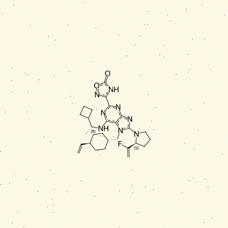 C=C[C@H]1CC[C@H](Cn2c(N3CCC[C@H]3C(=C)F)nc3nc(-c4noc(=O)[nH]4)nc(N[C@H](C)C4CCC4)c32)CC1